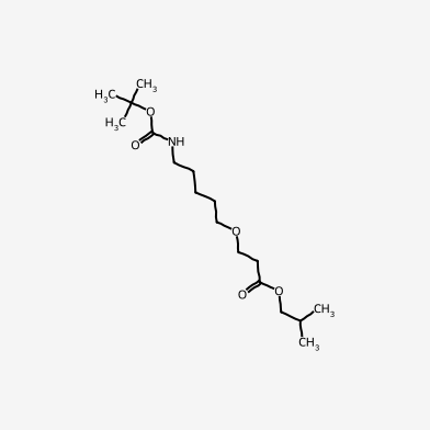 CC(C)COC(=O)CCOCCCCCNC(=O)OC(C)(C)C